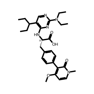 CCC(CC)c1cnc(N(CC)CC)nc1N[C@@H](Cc1ccc(-c2c(OC)ccn(C)c2=O)cc1)C(=O)O